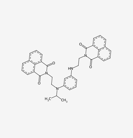 CC(C)N(CCN1C(=O)c2cccc3cccc(c23)C1=O)c1cccc(NCCN2C(=O)c3cccc4cccc(c34)C2=O)c1